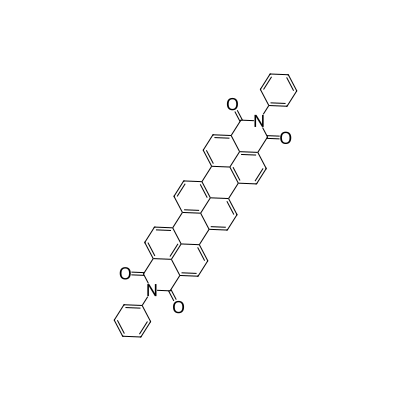 O=C1c2ccc3c4ccc5c6ccc7c8c(ccc(c9ccc(c%10ccc(c2c3%10)C(=O)N1c1ccccc1)c4c59)c86)C(=O)N(c1ccccc1)C7=O